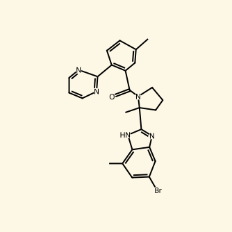 Cc1ccc(-c2ncccn2)c(C(=O)N2CCCC2(C)c2nc3cc(Br)cc(C)c3[nH]2)c1